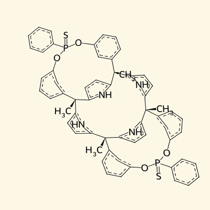 C[C@]12c3cccc(c3)OP(=S)(c3ccccc3)Oc3cccc(c3)[C@](C)(c3ccc1[nH]3)c1ccc([nH]1)[C@@]1(C)c3cccc(c3)OP(=S)(c3ccccc3)Oc3cccc(c3)[C@](C)(c3ccc1[nH]3)c1ccc2[nH]1